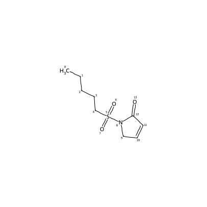 CCCCCS(=O)(=O)N1CC=CC1=O